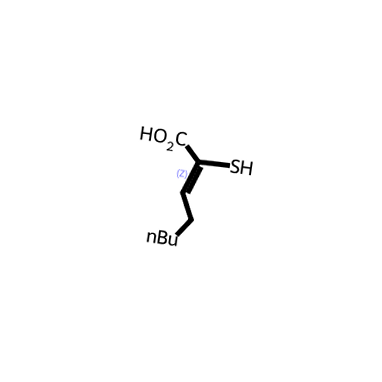 CCCCC/C=C(\S)C(=O)O